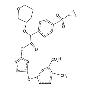 Cc1ccc(Oc2cnc(OC(=O)C(OC3CCCOC3)c3ccc(S(=O)(=O)C4CC4)cc3)s2)cc1C(=O)O